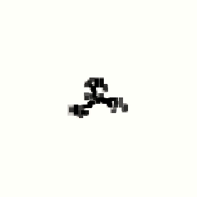 C[15N](C)C